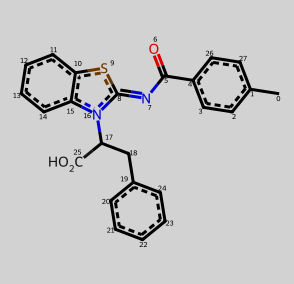 Cc1ccc(C(=O)/N=c2\sc3ccccc3n2C(Cc2ccccc2)C(=O)O)cc1